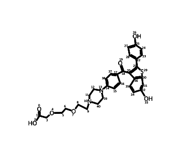 O=C(O)COCCOCCN1CCN(c2ccc(C(=O)c3c(-c4ccc(O)cc4)sc4cc(O)ccc34)cc2)CC1